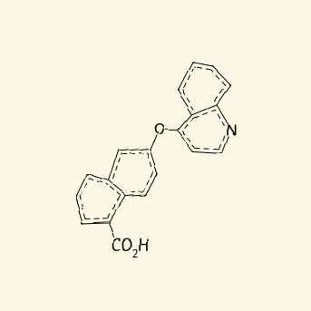 O=C(O)c1cccc2cc(Oc3ccnc4ccccc34)ccc12